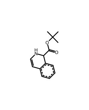 CC(C)(C)OC(=O)C1NC=Cc2ccccc21